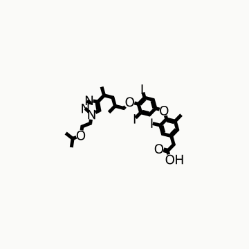 Cc1cc(CC(=O)O)cc(I)c1Oc1cc(I)c(OCC(C)CC(C)c2cn(CCOC(C)C)nn2)c(I)c1